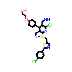 N=Cc1c(Cl)nc(SCc2cnc(-c3ccc(Cl)cc3)s2)c(C=N)c1-c1ccc(OCCO)cc1